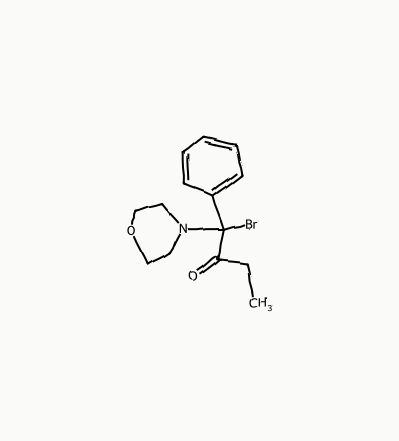 CCC(=O)C(Br)(c1ccccc1)N1CCOCC1